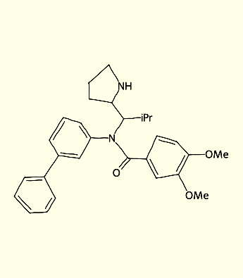 COc1ccc(C(=O)N(c2cccc(-c3ccccc3)c2)C(C(C)C)C2CCCN2)cc1OC